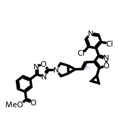 COC(=O)c1cccc(-c2noc(N3CC4C(/C=C/c5c(-c6c(Cl)cncc6Cl)noc5C5CC5)C4C3)n2)c1